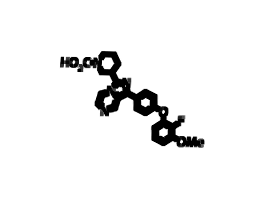 COc1cccc(Oc2ccc(-c3nc(C4CCCN(C(=O)O)C4)n4ccncc34)cc2)c1F